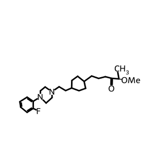 CO[C@@H](C)C(=O)CCCC1CCC(CCN2CCN(c3ccccc3F)CC2)CC1